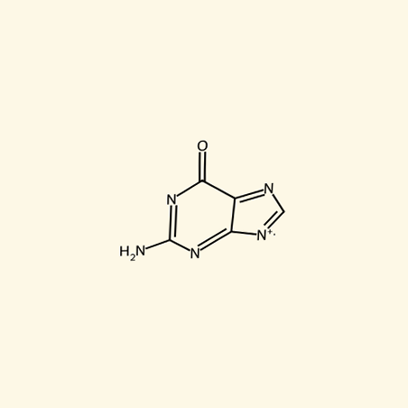 NC1=NC(=O)C2=NC=[N+]C2=N1